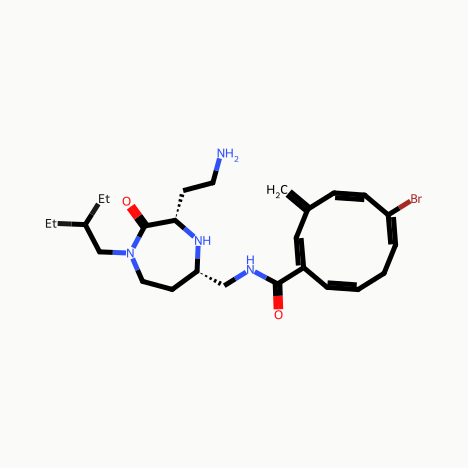 C=C1/C=C\C(Br)=C/C/C=C\C(C(=O)NC[C@@H]2CCN(CC(CC)CC)C(=O)[C@H](CCN)N2)=C/1